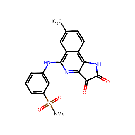 CNS(=O)(=O)c1cccc(Nc2nc3c(c4ccc(C(=O)O)cc24)NC(=O)C3=O)c1